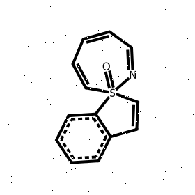 O=S12(C=CC=CC=N1)C=Cc1ccccc12